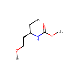 CCOCC[C@@H](CC(C)C)NC(=O)OC(C)(C)C